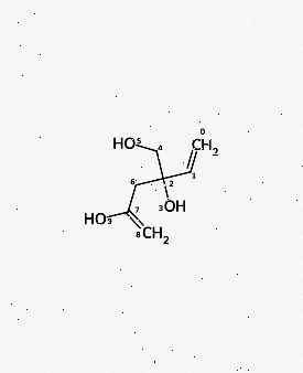 C=CC(O)(CO)CC(=C)O